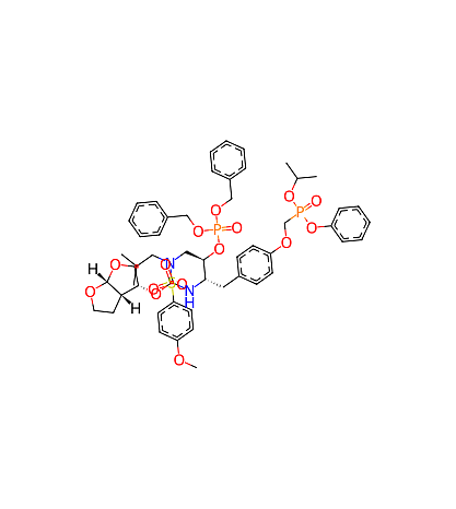 COc1ccc(S(=O)(=O)N(CC(C)C)C[C@@H](OP(=O)(OCc2ccccc2)OCc2ccccc2)[C@H](Cc2ccc(OCP(=O)(Oc3ccccc3)OC(C)C)cc2)NC(=O)O[C@H]2CO[C@H]3OCC[C@H]32)cc1